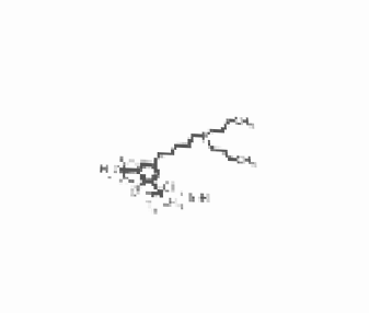 Br.CCCCP(CCCC)CCCCCc1cc(C(C)(C)C)c(O)c(C(C)(C)C)c1